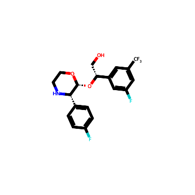 OC[C@@H](O[C@H]1OCCN[C@H]1c1ccc(F)cc1)c1cc(F)cc(C(F)(F)F)c1